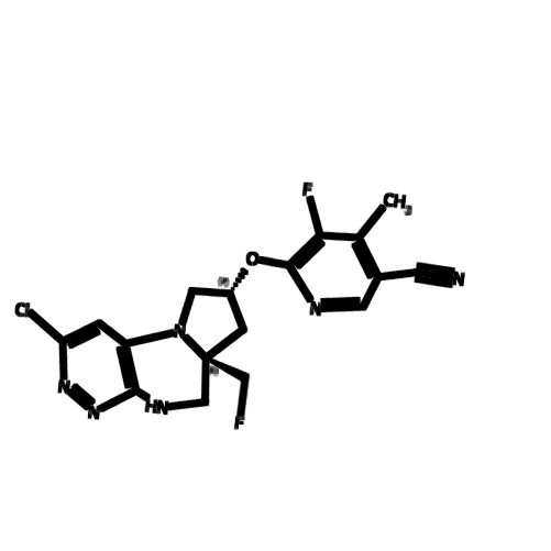 Cc1c(C#N)cnc(O[C@H]2CN3c4cc(Cl)nnc4NC[C@@]3(CF)C2)c1F